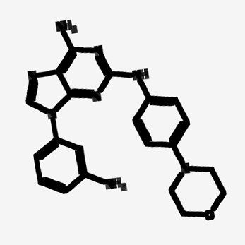 Nc1cccc(-n2cnc3c(N)nc(Nc4ccc(N5CCOCC5)cc4)nc32)c1